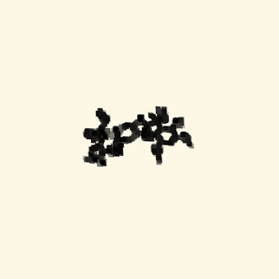 C=CC(=O)Nc1cn(C)nc1Nc1cc2nc(C(C)(O)c3c(Cl)c(OC)cc(OC)c3Cl)sc2cn1